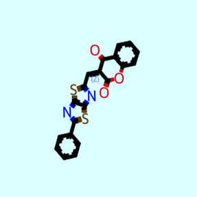 O=C1Oc2ccccc2C(=O)/C1=C/c1nc2sc(-c3ccccc3)nc2s1